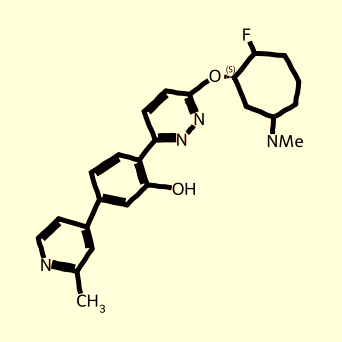 CNC1CCCC(F)[C@@H](Oc2ccc(-c3ccc(-c4ccnc(C)c4)cc3O)nn2)C1